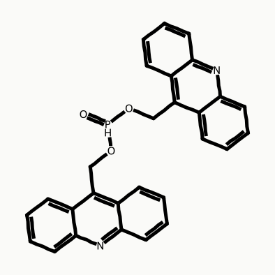 O=[PH](OCc1c2ccccc2nc2ccccc12)OCc1c2ccccc2nc2ccccc12